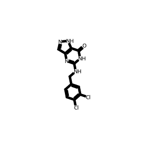 O=c1[nH]c(NCc2ccc(Cl)c(Cl)c2)nc2cn[nH]c12